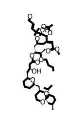 CCCCO[C@H](C)[C@@H](C[C@@H]1C/C(=C\C(=O)OC)[C@H](OC(C)=O)[C@](O)(C(C)(C)/C=C/C=O)O1)OC(=O)C[C@H](O)C[C@@H]1CCC[C@H](C[C@@H]2CCO[C@@]3(C[C@H](C)CC[C@H]3C(C)C)O2)O1